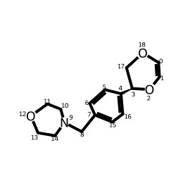 C1=CO[C@@H](c2ccc(CN3CCOCC3)cc2)CO1